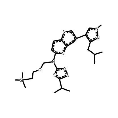 CC(C)Cc1nn(C)cc1-c1cnc2ccc(N(COCC[Si](C)(C)C)c3nnc(C(C)C)s3)nc2c1